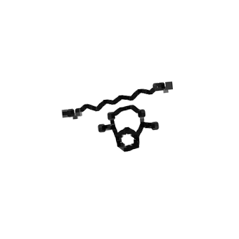 O=C(O)CCCCCCCCC(=O)O.O=C1OCCOC(=O)c2cccc1c2